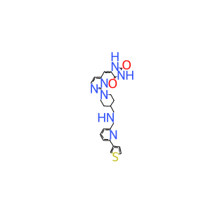 O=C1NC(=O)/C(=C\c2ccnc(N3CCC(CNCc4cccc(-c5ccsc5)n4)CC3)n2)N1